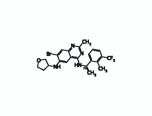 Cc1nc(N[C@H](C)c2cccc(C(F)(F)F)c2C)c2cc(NC3CCOC3)c(Br)cc2n1